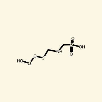 O=S(=O)(O)CNCSOOO